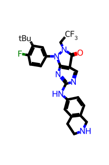 CC(C)(C)c1cc(-n2c3nc(Nc4ccc5c(c4)CCNC5)ncc3c(=O)n2CC(F)(F)F)ccc1F